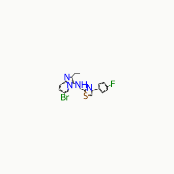 CCc1nc2ccc(Br)cn2c1NCc1nc(-c2ccc(F)cc2)cs1